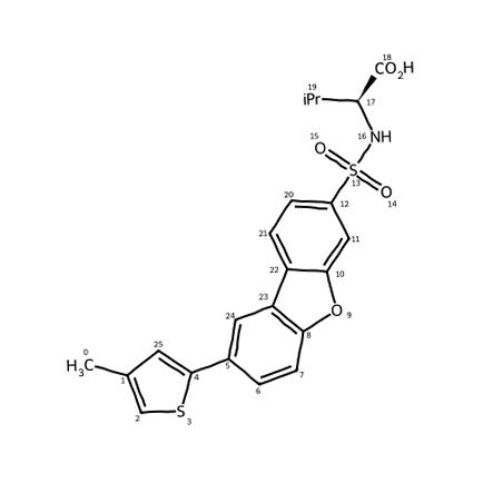 Cc1csc(-c2ccc3oc4cc(S(=O)(=O)N[C@H](C(=O)O)C(C)C)ccc4c3c2)c1